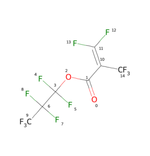 O=C(OC(F)(F)C(F)(F)C(F)(F)F)C(=C(F)F)C(F)(F)F